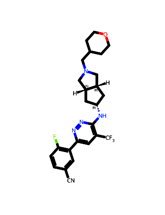 N#Cc1ccc(F)c(-c2cc(C(F)(F)F)c(N[C@@H]3C[C@@H]4CN(CC5CCOCC5)C[C@@H]4C3)nn2)c1